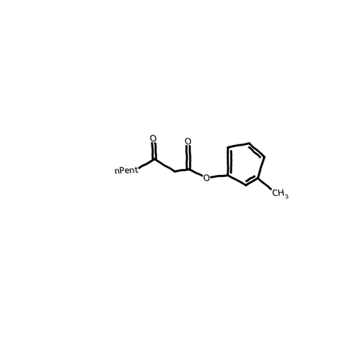 CCCCCC(=O)CC(=O)Oc1cccc(C)c1